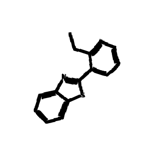 CCc1ccccc1-c1nc2ccccc2s1